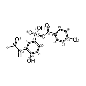 CC(=O)Nc1cc([As](=O)(O)OC(=O)c2ccc(Cl)cc2)ccc1O